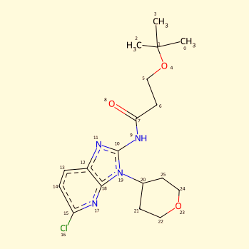 CC(C)(C)OCCC(=O)Nc1nc2ccc(Cl)nc2n1C1CCOCC1